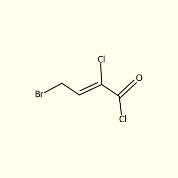 O=C(Cl)C(Cl)=CCBr